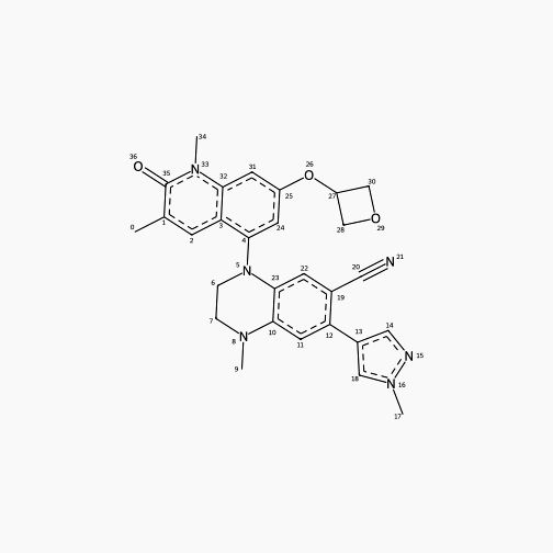 Cc1cc2c(N3CCN(C)c4cc(-c5cnn(C)c5)c(C#N)cc43)cc(OC3COC3)cc2n(C)c1=O